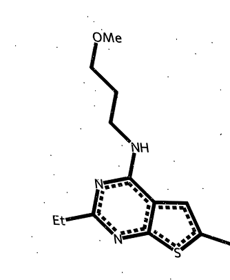 CCc1nc(NCCCOC)c2cc(C)sc2n1